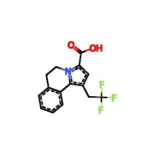 O=C(O)c1cc(CC(F)(F)F)c2n1CCc1ccccc1-2